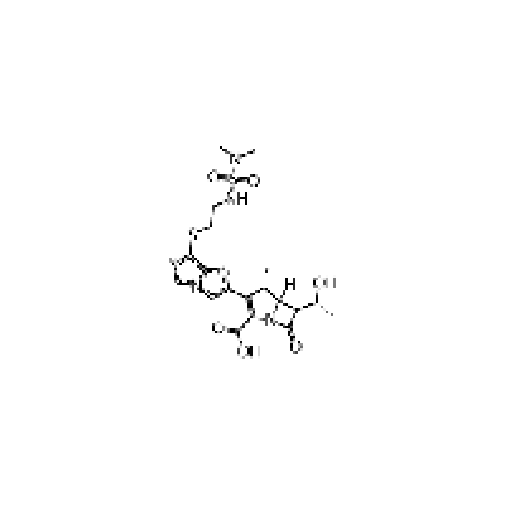 C[C@@H](O)[C@H]1C(=O)N2C(C(=O)O)=C(c3cn4cnc(SCCNS(=O)(=O)N(C)C)c4s3)[C@H](C)[C@H]12